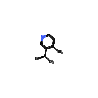 CC[C@@H](c1cnccc1C(F)(F)F)C(F)(F)F